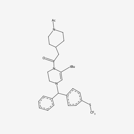 CC(=O)N1CCC(CC(=O)N2CCN(C(c3ccccc3)c3ccc(SC(F)(F)F)cc3)C=C2C(C)(C)C)CC1